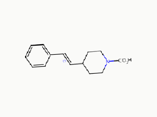 O=C(O)N1CCC(/C=C/c2ccccc2)CC1